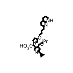 CC(C)OCc1cc(C2CC2)ncc1C(C(=O)O)N1CCC(OCCCCc2ccc3c(n2)NCCC3)C1